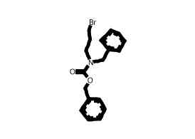 O=C(OCc1ccccc1)N(CCCBr)Cc1ccccc1